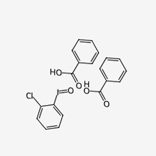 O=C(O)c1ccccc1.O=C(O)c1ccccc1.O=Ic1ccccc1Cl